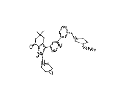 CN[C@@H]1CCN(Cc2cccc(-c3cc(-c4c(N5CCOCC5)sc5c4CC(C)(C)CC5=O)ccn3)c2)C1